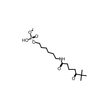 CC(C)(C)C(=O)CCCC(=O)NCCCCCCOP(=O)(O)OI